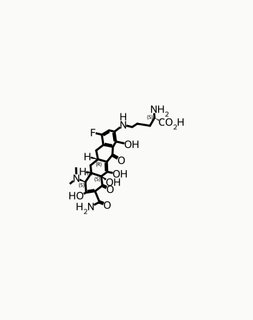 CN(C)[C@@H]1C(O)=C(C(N)=O)C(=O)[C@@]2(O)C(O)=C3C(=O)c4c(O)c(NCCC[C@H](N)C(=O)O)cc(F)c4C[C@H]3C[C@@H]12